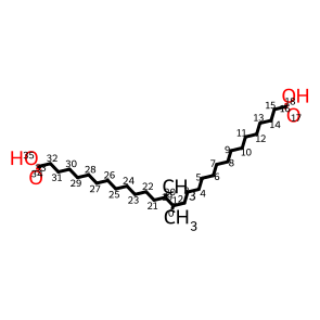 CC(CCCCCCCCCCCCCCC(=O)O)C(C)CCCCCCCCCCCCC(=O)O